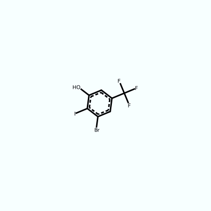 Oc1cc(C(F)(F)F)cc(Br)c1I